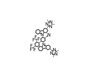 Cc1nc(C)nc(-c2ccc3c(c2)c2ccccc2n3-c2cc(-c3ccc(C(F)(F)F)cc3C(F)(F)F)c(-n3c4ccccc4c4cc(-c5nc(C)nc(C)n5)ccc43)cc2C#N)n1